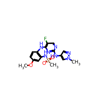 COc1ccc(Nc2nc(Nc3cnn(C)c3)ncc2F)c(NS(C)(=O)=O)c1